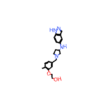 Cc1ccc(CN2CC[C@@H](Nc3ccc4[nH]ncc4c3)C2)cc1OCCO